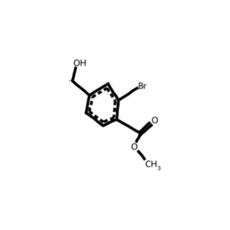 COC(=O)c1ccc([CH]O)cc1Br